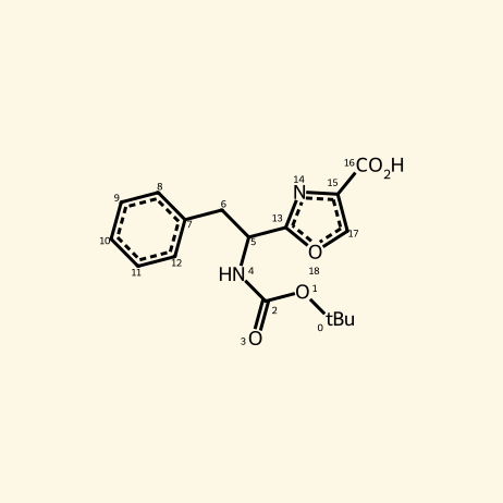 CC(C)(C)OC(=O)NC(Cc1ccccc1)c1nc(C(=O)O)co1